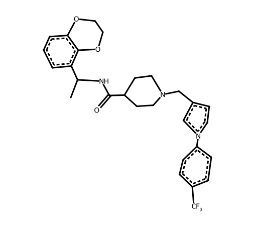 CC(NC(=O)C1CCN(Cc2ccn(-c3ccc(C(F)(F)F)cc3)c2)CC1)c1cccc2c1OCCO2